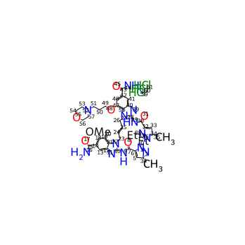 CCn1nc(C)cc1C(=O)Nc1nc2cc(C(N)=O)cc(OC)c2n1CC=CCn1c(NC(=O)c2cc(C)nn2CC)nc2cc(C(N)=O)cc(OCCCN3CCOCC3)c21.Cl.Cl.Cl